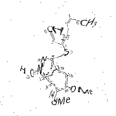 C=C/C(=C\C=C/C)Sc1nn(C)c2cc(OC)c(OC)cc12